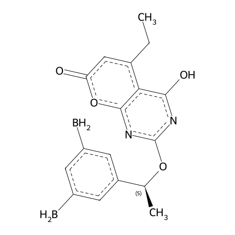 Bc1cc(B)cc([C@H](C)Oc2nc(O)c3c(CC)cc(=O)oc3n2)c1